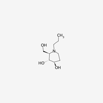 CCCN1CC[C@@H](O)[C@H](O)[C@H]1CO